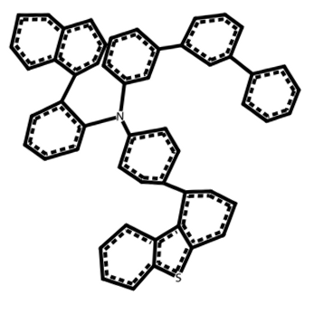 c1ccc(-c2cccc(-c3cccc(N(c4ccc(-c5cccc6sc7ccccc7c56)cc4)c4ccccc4-c4cccc5ccccc45)c3)c2)cc1